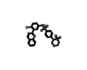 O=S(=O)(Nc1ccc(Cl)c(-c2ncc3ccccc3n2)c1)c1ccc(N2COCCS2(=O)=O)cc1